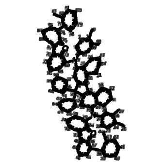 Cc1ccc(N(c2cc3c(c4ccccc24)-c2c(cc(N(c4ccc(C)c(C)c4)c4cccc5c4oc4c(-c6ccccc6C)cccc45)c4ccccc24)C3(c2ccccc2)c2ccccc2)c2cccc3c2oc2c(-c4ccccc4C)cccc23)cc1C